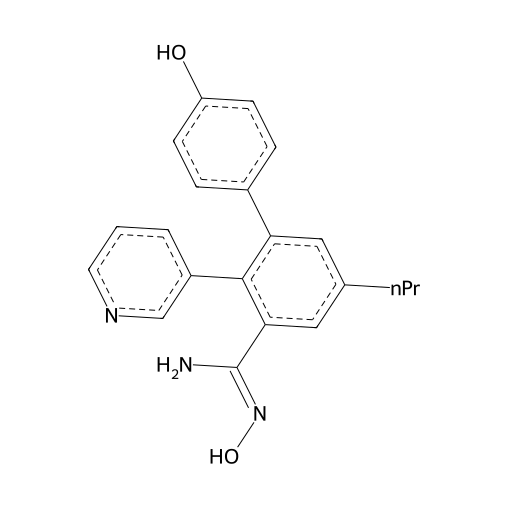 CCCc1cc(C(N)=NO)c(-c2cccnc2)c(-c2ccc(O)cc2)c1